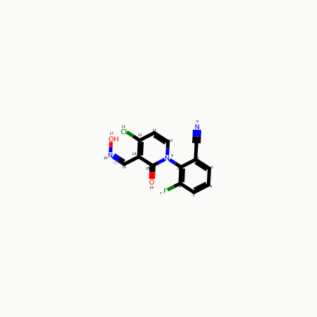 N#Cc1cccc(F)c1-n1ccc(Cl)c(/C=N\O)c1=O